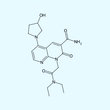 CCN(CC)C(=O)Cn1c(=O)c(C(N)=O)cc2c(N3CCC(O)C3)ccnc21